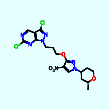 C[C@H]1CC(n2cc([N+](=O)[O-])c(OCCCn3nc(Cl)c4cnc(Cl)nc43)n2)CCO1